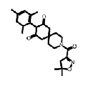 CC1=CC(C)=C(C2C(=O)CC3(CCN(C(=O)C4=NOC(C)(C)C4)CC3)CC2=O)C(C)C1